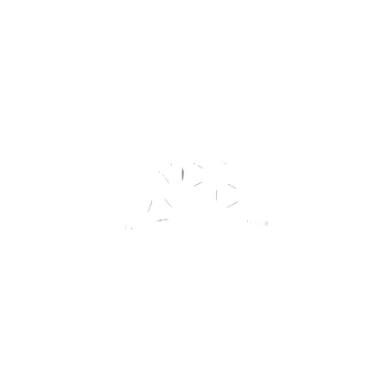 CNCc1cc(C)c(-c2cc3c(-c4cc(C)c5c(c4)C(C)(C)NCC5)n[nH]c3cc2C#N)c(F)c1